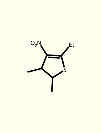 CCC1=C([N+](=O)[O-])C(C)C(C)S1